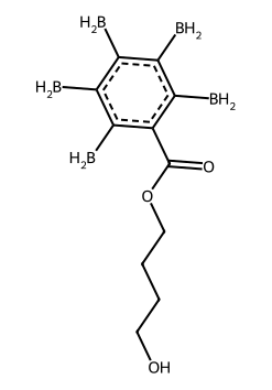 Bc1c(B)c(B)c(C(=O)OCCCCO)c(B)c1B